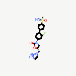 CS(=N)(=O)c1ccc(-c2ccc(N3C[C@H](CN4C=CNN4)OC3=O)cc2F)cc1